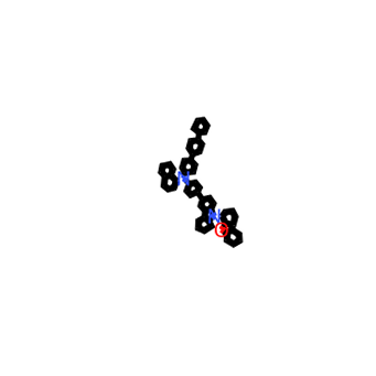 c1ccc(-c2ccc(-c3ccc(N(c4ccc(-c5ccc6c(c5)c5ccccc5n6-c5cccc6c5oc5ccccc56)cc4)c4cccc5ccccc45)cc3)cc2)cc1